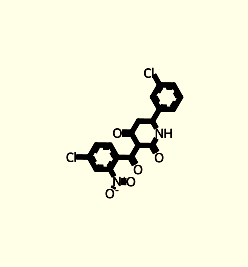 O=C1CC(c2cccc(Cl)c2)NC(=O)C1C(=O)c1ccc(Cl)cc1[N+](=O)[O-]